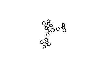 c1ccc(C2(c3ccccc3)c3ccccc3-c3cc(-c4ccc(N(c5ccc(-c6ccc(-n7c8ccccc8c8ccccc87)cc6)cc5)c5ccc6c(c5)C(c5ccccc5)(c5ccccc5)c5ccccc5-6)cc4)ccc32)cc1